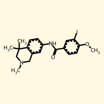 COc1ccc(C(=O)Nc2ccc3c(c2)CN(C)CC3(C)C)cc1I